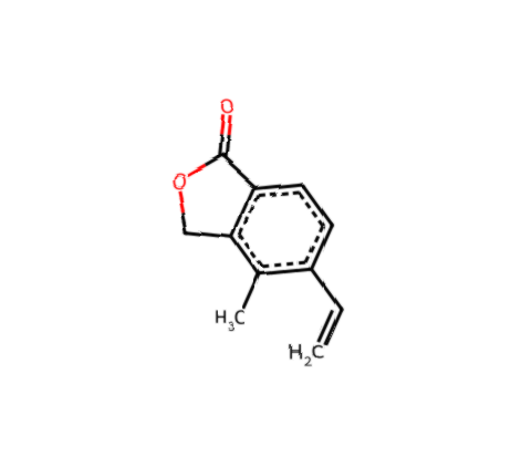 C=Cc1ccc2c(c1C)COC2=O